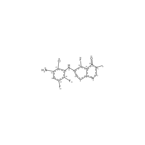 Cn1cnc2ccc(Nc3c(F)c(F)cc(N)c3Cl)c(F)c2c1=O